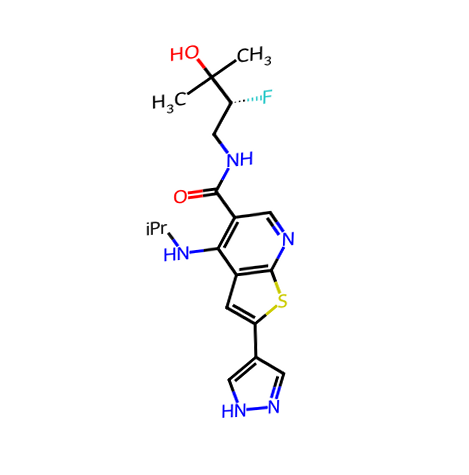 CC(C)Nc1c(C(=O)NC[C@@H](F)C(C)(C)O)cnc2sc(-c3cn[nH]c3)cc12